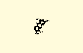 O=c1c2ccc(O)c(O)c2oc2cc(O)cc(O)c12